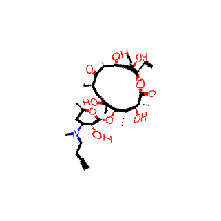 C#CCCN(C)[C@H]1C[C@@H](C)O[C@@H](O[C@@H]2[C@@H](C)[C@H](O)[C@@H](C)C(=O)O[C@H](CC)[C@@](C)(O)[C@H](O)[C@@H](C)C(=O)[C@H](C)C[C@@]2(C)O)[C@@H]1O